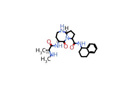 CN[C@@H](C)C(=O)N[C@H]1CCN[C@H]2CCC(C(=O)NC3CCCc4ccccc43)N2C1=O